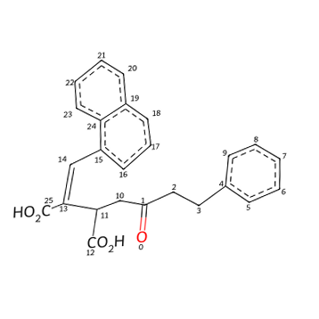 O=C(CCc1ccccc1)CC(C(=O)O)C(=Cc1cccc2ccccc12)C(=O)O